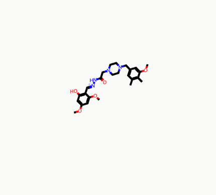 COc1cc(O)c(/C=N/NC(=O)CN2CCN(Cc3cc(C)c(C)c(OC)c3)CC2)c(OC)c1